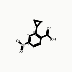 O=C(O)c1ccc([N+](=O)[O-])cc1C1CC1